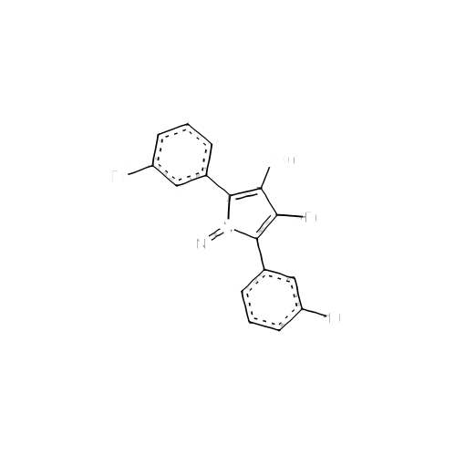 CCCCC1=C(c2cccc(CC)c2)[N+](=[N-])C(c2cccc(CC)c2)=C1CC